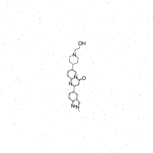 Cn1cc2cc(-c3cc(=O)n4cc(C5CCN(CCO)CC5)ccc4n3)ccc2n1